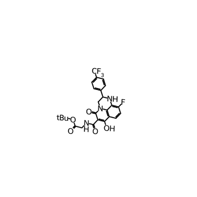 CC(C)(C)OC(=O)CNC(=O)c1c(O)c2ccc(F)c3c2n(c1=O)CC(c1ccc(C(F)(F)F)cc1)N3